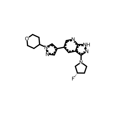 F[C@H]1CCN(c2n[nH]c3ncc(-c4cnn(C5CCOCC5)c4)cc23)C1